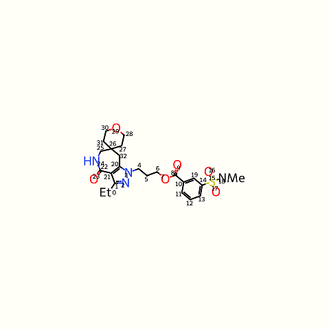 CCc1nn(CCCOC(=O)c2cccc(S(=O)(=O)NC)c2)c2c1C(=O)NCC1(CCOCC1)C2